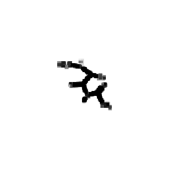 CN(C(N)=O)C(=O)[C@@H](NC(=O)O)C(C)(C)C